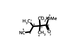 COC(=O)C(C)(C(=O)O)C(C)CC#N